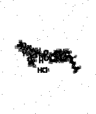 CC(C)CCC[C@@H](C)[C@H]1CC[C@H]2[C@@H]3CC=C4C[C@@H](OC(=O)NCCN/C(=N/C(=O)OC(C)(C)C)NC(=O)OC(C)(C)C)CC[C@]4(C)[C@H]3CC[C@]12C.Cl